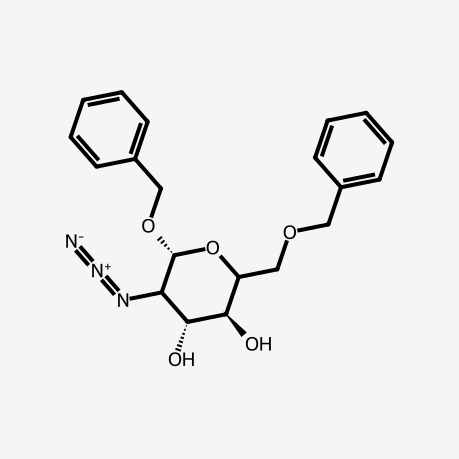 [N-]=[N+]=NC1[C@H](OCc2ccccc2)OC(COCc2ccccc2)[C@@H](O)[C@@H]1O